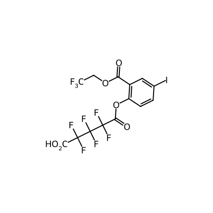 O=C(OCC(F)(F)F)c1cc(I)ccc1OC(=O)C(F)(F)C(F)(F)C(F)(F)C(=O)O